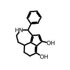 OC1=CC2=C3C1=C(O)CCC3CCNC2c1ccccc1